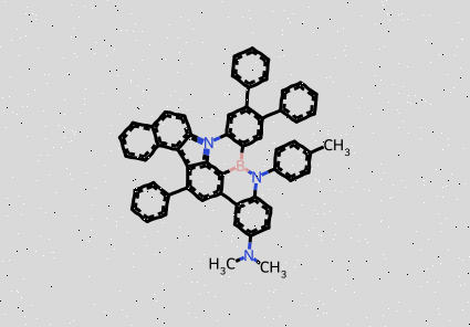 Cc1ccc(N2B3c4cc(-c5ccccc5)c(-c5ccccc5)cc4-n4c5ccc6ccccc6c5c5c(-c6ccccc6)cc(c3c54)-c3cc(N(C)C)ccc32)cc1